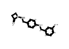 O=C1CCN1NCc1ccc(OCc2cccc(F)c2)cc1